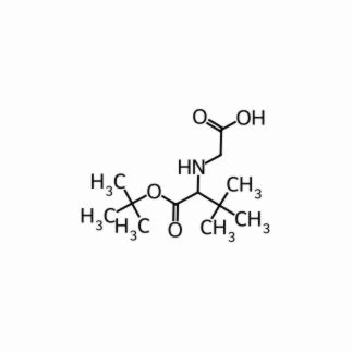 CC(C)(C)OC(=O)C(NCC(=O)O)C(C)(C)C